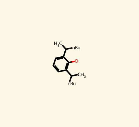 CCCCC(C)c1cccc(C(C)CCCC)c1[O]